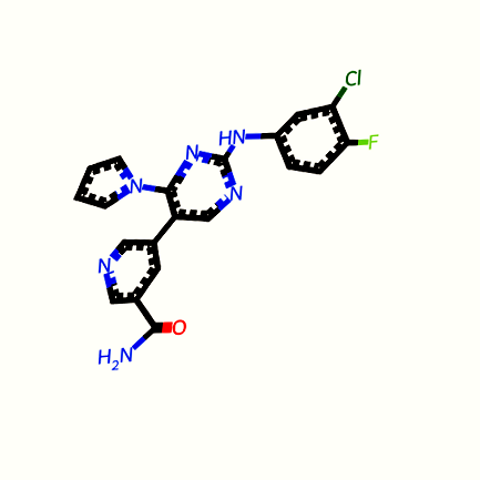 NC(=O)c1cncc(-c2cnc(Nc3ccc(F)c(Cl)c3)nc2-n2cccc2)c1